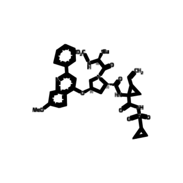 C=CC1CC1(NC(=O)[C@@H]1C[C@@H](Oc2cc(-c3ccccc3)nc3cc(OC)ccc23)CN1C(=O)[C@@H](NC(=O)O)C(C)(C)C)C(=O)NS(=O)(=O)C1CC1